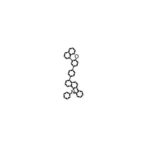 c1ccc(-n2c3ccccc3c3ccc4c(-c5ccc(-c6ccc7c(c6)-c6cccc8cccc(c68)O7)cc5)cccc4c32)cc1